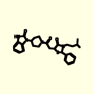 CC(C)CCN1C(=O)C(CC(=O)N2CCC(n3c(=O)[nH]c4ccccc43)CC2)SC1c1ccccc1